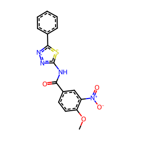 COc1ccc(C(=O)Nc2nnc(-c3ccccc3)s2)cc1[N+](=O)[O-]